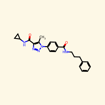 Cc1c(C(=O)NC2CC2)nnn1-c1ccc(C(=O)NCCCc2ccccc2)cc1